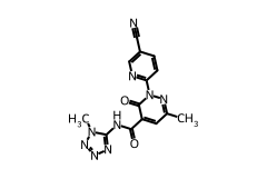 Cc1cc(C(=O)Nc2nnnn2C)c(=O)n(-c2ccc(C#N)cn2)n1